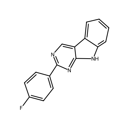 Fc1ccc(-c2ncc3c(n2)[nH]c2ccccc23)cc1